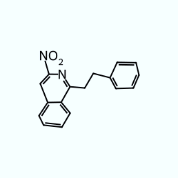 O=[N+]([O-])c1cc2ccccc2c(CCc2ccccc2)n1